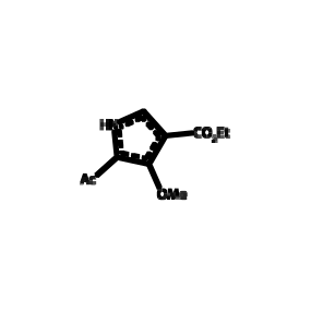 CCOC(=O)c1c[nH]c(C(C)=O)c1OC